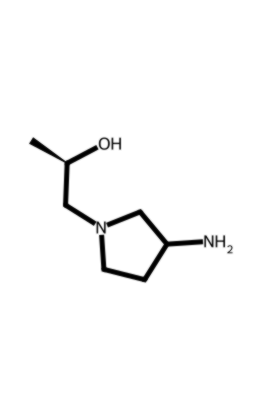 C[C@@H](O)CN1CCC(N)C1